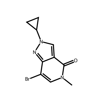 Cn1cc(Br)c2nn(C3CC3)cc2c1=O